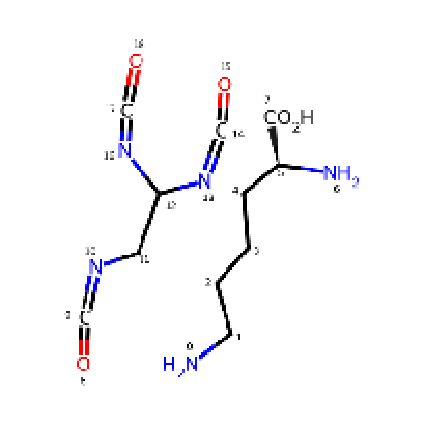 NCCCC[C@H](N)C(=O)O.O=C=NCC(N=C=O)N=C=O